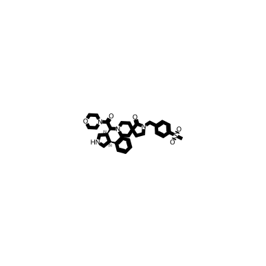 CS(=O)(=O)c1ccc(CN2CCC3(CCN(C(C(=O)N4CCOCC4)[C@@H]4CNC[C@@H]4c4ccccc4)CC3)C2=O)cc1